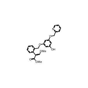 CO/C=C(/C(=O)OC)c1ccccc1COc1cc(O)cc(OCc2ccccn2)c1